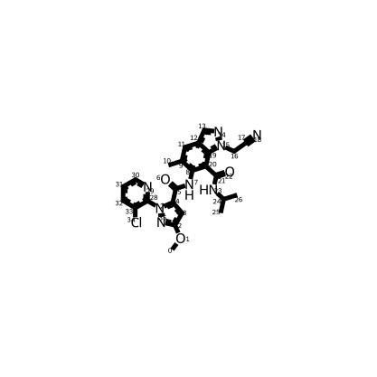 COc1cc(C(=O)Nc2c(C)cc3cnn(CC#N)c3c2C(=O)NC(C)C)n(-c2ncccc2Cl)n1